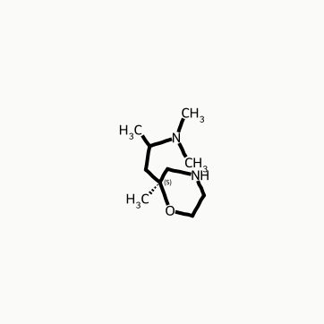 CC(C[C@@]1(C)CNCCO1)N(C)C